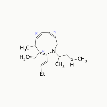 C=C/C1=C(\C=CCC)N(C(C)CPC)C/C=C\C=C/C1C